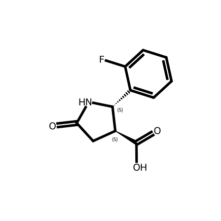 O=C1C[C@H](C(=O)O)[C@@H](c2ccccc2F)N1